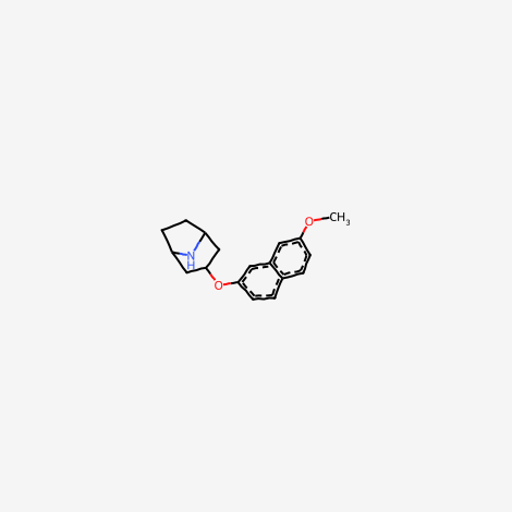 COc1ccc2ccc(OC3CC4CCC(C3)N4)cc2c1